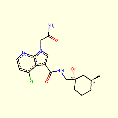 C[C@H]1CCC[C@@](O)(CNC(=O)c2cn(CC(N)=O)c3nccc(Cl)c23)C1